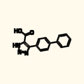 O=C(O)c1[nH]nnc1-c1ccc(-c2ccccc2)cc1